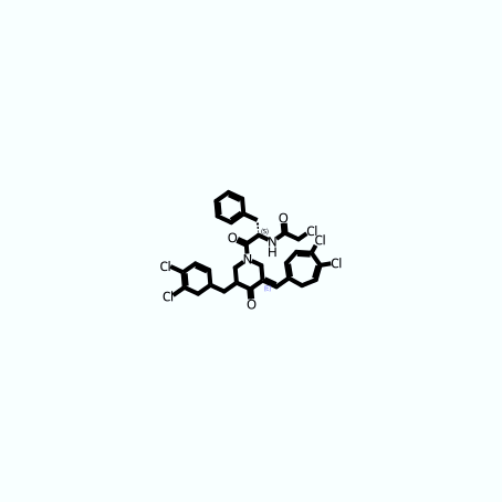 O=C(CCl)N[C@@H](Cc1ccccc1)C(=O)N1C/C(=C\C2=CC=C(Cl)C(Cl)=CC2)C(=O)C(CC2C=CC(Cl)=C(Cl)C2)C1